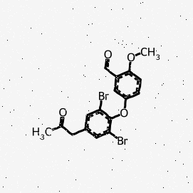 COc1ccc(Oc2c(Br)cc(CC(C)=O)cc2Br)cc1C=O